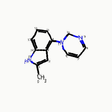 Cc1cc2c(N3C=CC=NC3)cccc2[nH]1